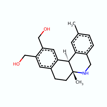 Cc1ccc2c(c1)[C@@H]1c3cc(CO)c(CO)cc3CC[C@@]1(C)NC2